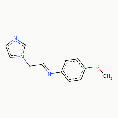 COc1ccc(N=CCn2ccnc2)cc1